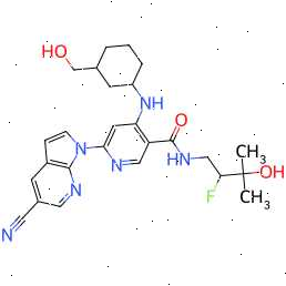 CC(C)(O)C(F)CNC(=O)c1cnc(-n2ccc3cc(C#N)cnc32)cc1NC1CCCC(CO)C1